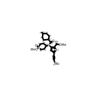 COC(=O)c1sc(C#CC(C)(C)C)cc1N(C(=O)C1CCC(C)CC1)C1CCP(=O)(OC)CC1